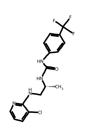 C[C@H](CNc1ncccc1Cl)NC(=O)Nc1ccc(C(F)(F)F)cc1